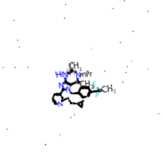 C=CNc1nc(-c2cccnc2CCC2CC2)n(Cc2ccc(C(C)(F)F)cc2)c1C(=C)N(CCC)C(C)C